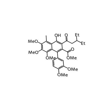 CCC(CC)CC(=O)c1c(C(=O)OC)c(-c2ccc(OC)c(OC)c2)c2c(OC)c(OC)c(OC)c(C)c2c1O